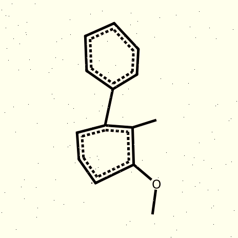 COc1[c]ccc(-c2ccccc2)c1C